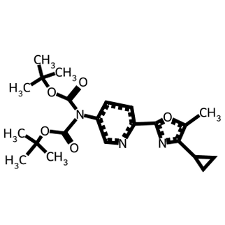 Cc1oc(-c2ccc(N(C(=O)OC(C)(C)C)C(=O)OC(C)(C)C)cn2)nc1C1CC1